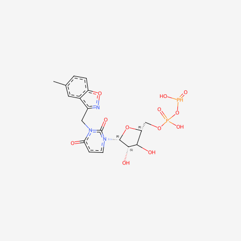 Cc1ccc2onc(Cn3c(=O)ccn([C@@H]4O[C@H](COP(=O)(O)O[PH](=O)O)C(O)[C@@H]4O)c3=O)c2c1